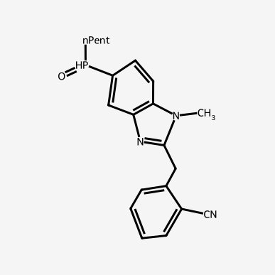 CCCCC[PH](=O)c1ccc2c(c1)nc(Cc1ccccc1C#N)n2C